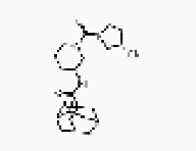 N#C[C@H]1CCN(C(=O)N2CCC[C@H](NC(=O)C34CC5CC(C3)C(O)C(C5)C4)C2)C1